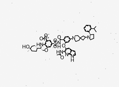 CC(=O)Nc1nc2[nH]ccc2cc1Oc1cc(N2CCC3(CC2)CC(N2CCC[C@@H]2c2ccccc2C(C)C)C3)ccc1C(=O)NS(=O)(=O)c1cc2c(c([N+](=O)[O-])c1)N[C@@H]([C@H]1CC[C@](C)(O)CC1)CO2